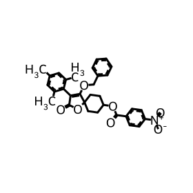 Cc1cc(C)c(C2=C(OCc3ccccc3)C3(CCC(OC(=O)c4ccc([N+](=O)[O-])cc4)CC3)OC2=O)c(C)c1